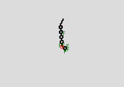 CCCCCc1ccc(-c2ccc(C3CCC(C4CCC(C(F)(F)Oc5cc(F)c(F)c(F)c5)CC4)CC3)c(F)c2)cc1